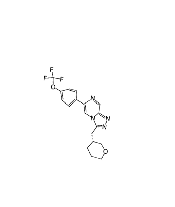 FC(F)(F)Oc1ccc(-c2cn3c(C[C@H]4CCCOC4)nnc3cn2)cc1